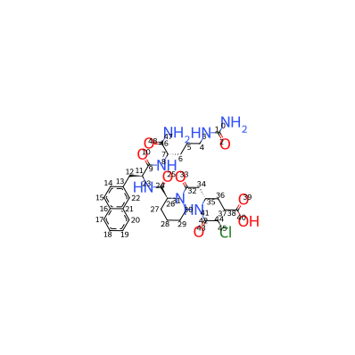 NC(=O)NCCC[C@H](NC(=O)[C@H](Cc1ccc2ccccc2c1)NC(=O)[C@@H]1CCCCN1C(=O)C[C@H](CCC(=O)O)NC(=O)CCl)C(N)=O